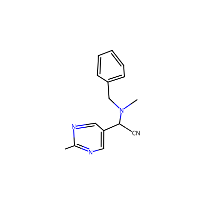 Cc1ncc(C(C#N)N(C)Cc2ccccc2)cn1